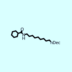 CCCCCCCCCCCCCCCCCCCNC(=O)C1CCCCC1